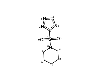 O=S(=O)(c1nn[c]s1)N1CCCCC1